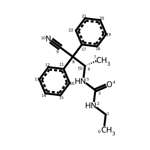 CCNC(=O)N[C@@H](C)C(C#N)(c1ccccc1)c1ccccc1